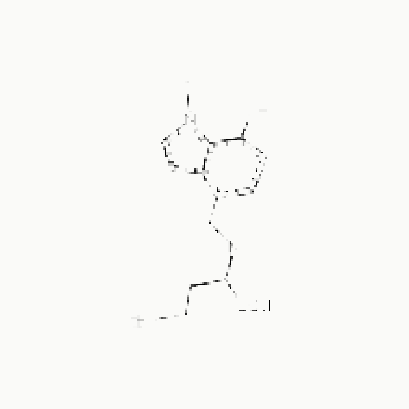 Cc1ccc(CNC(CCC(C)(C)C)C(=O)O)c2ccn(C)c12